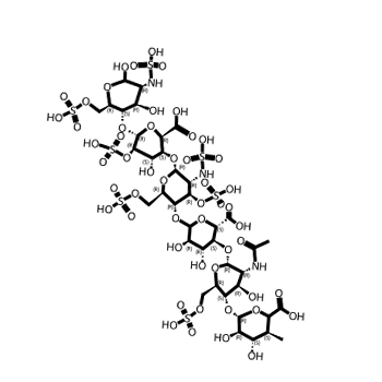 CC(=O)N[C@H]1[C@@H](O[C@H]2[C@H](O)[C@@H](O)C(O[C@H]3[C@H](OS(=O)(=O)O)[C@@H](NS(=O)(=O)O)[C@@H](O[C@H]4[C@H](O)[C@@H](OS(=O)(=O)O)[C@H](O[C@H]5[C@H](O)[C@@H](NS(=O)(=O)O)C(O)O[C@@H]5COS(=O)(=O)O)O[C@H]4C(=O)O)O[C@@H]3COS(=O)(=O)O)O[C@@H]2C(=O)O)O[C@H](COS(=O)(=O)O)[C@@H](O[C@@H]2OC(C(=O)O)[C@@H](C)[C@H](O)[C@H]2O)[C@@H]1O